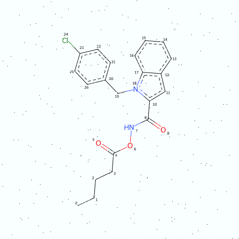 CCCCC(=O)ONC(=O)c1cc2ccccc2n1Cc1ccc(Cl)cc1